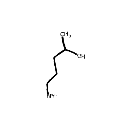 CC[CH]CCCC(C)O